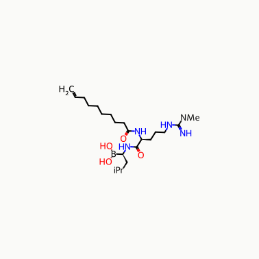 C=CCCCCCCCC(=O)N[C@@H](CCCNC(=N)NC)C(=O)N[C@@H](CC(C)C)B(O)O